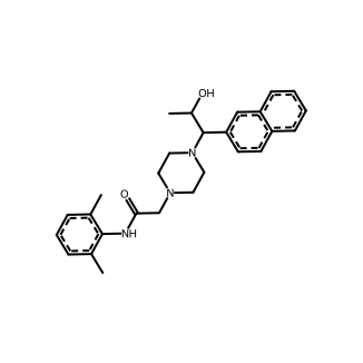 Cc1cccc(C)c1NC(=O)CN1CCN(C(c2ccc3ccccc3c2)C(C)O)CC1